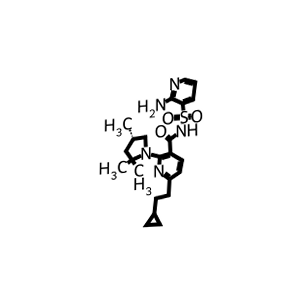 C[C@@H]1CN(c2nc(CCC3CC3)ccc2C(=O)NS(=O)(=O)c2cccnc2N)C(C)(C)C1